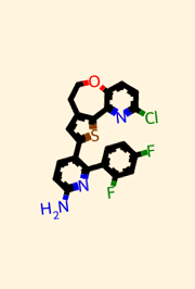 Nc1ccc(-c2cc3c(s2)-c2nc(Cl)ccc2OCC3)c(-c2ccc(F)cc2F)n1